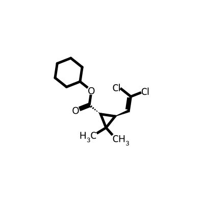 CC1(C)[C@H](C=C(Cl)Cl)[C@H]1C(=O)OC1CCCCC1